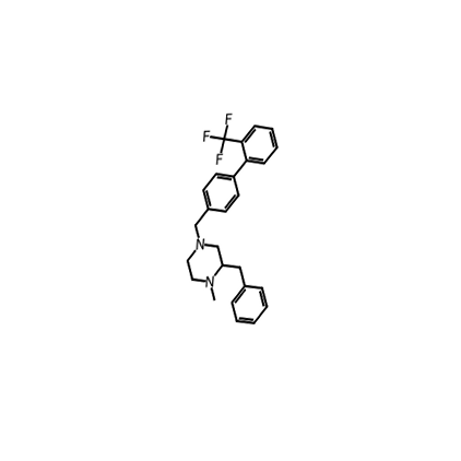 CN1CCN(Cc2ccc(-c3ccccc3C(F)(F)F)cc2)CC1Cc1ccccc1